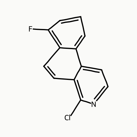 Fc1cccc2c1ccc1c(Cl)nccc12